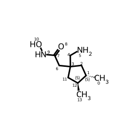 C[C@H]1CC(CN)(CC(=O)NO)C[C@@H]1C